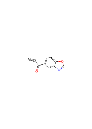 COC(=O)c1ccc2ocnc2c1